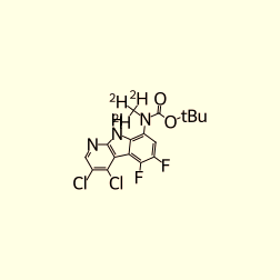 [2H]C([2H])([2H])N(C(=O)OC(C)(C)C)c1cc(F)c(F)c2c1[nH]c1ncc(Cl)c(Cl)c12